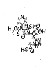 CC(=S)N(c1ccncc1)C1C(=O)N2CC(CSc3nnnn3CC(=O)O)(C(=O)O)CS[C@H]12